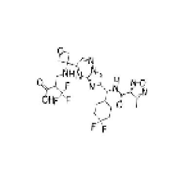 Cc1nonc1C(=O)NC(c1cn2ncc(C3(NCC(C(=O)O)C(F)(F)F)COC3)nc2n1)C1CCC(F)(F)CC1